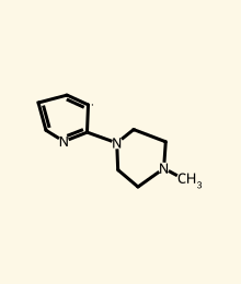 CN1CCN(c2[c]cccn2)CC1